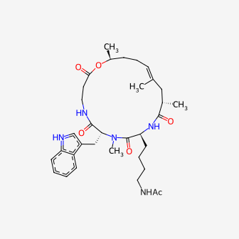 CC(=O)NCCCC[C@@H]1NC(=O)[C@@H](C)C/C(C)=C/CC[C@H](C)OC(=O)CCNC(=O)[C@@H](Cc2c[nH]c3ccccc23)N(C)C1=O